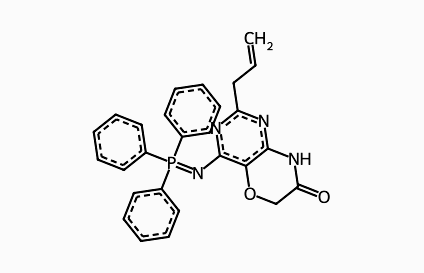 C=CCc1nc(N=P(c2ccccc2)(c2ccccc2)c2ccccc2)c2c(n1)NC(=O)CO2